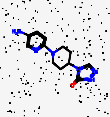 Nc1ccc(N2CCC(n3cn[nH]c3=O)CC2)nc1